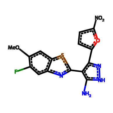 COc1cc2sc(-c3c(-c4ccc([N+](=O)[O-])o4)n[nH]c3N)nc2cc1F